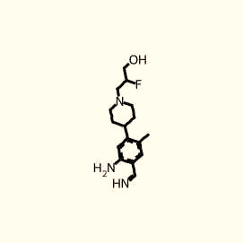 Cc1cc(C=N)c(N)cc1C1CCN(CC(F)CO)CC1